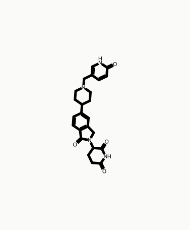 O=C1CCC(N2Cc3cc(C4CCN(Cc5ccc(=O)[nH]c5)CC4)ccc3C2=O)C(=O)N1